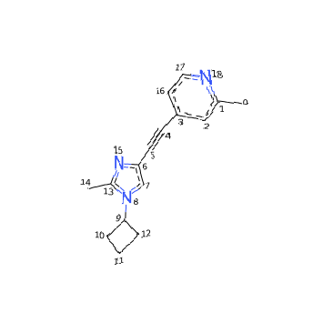 Cc1cc(C#Cc2cn(C3CCC3)c(C)n2)ccn1